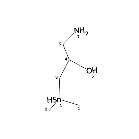 [CH3][SnH]([CH3])[CH2]C(O)CN